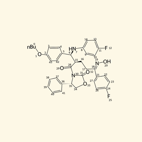 CCCCOc1ccc([C@@H](Nc2ccc(F)cc2)[C@@H](CC/C(=N/O)c2ccc(F)cc2)C(=O)N2C(=O)OC[C@@H]2c2ccccc2)cc1